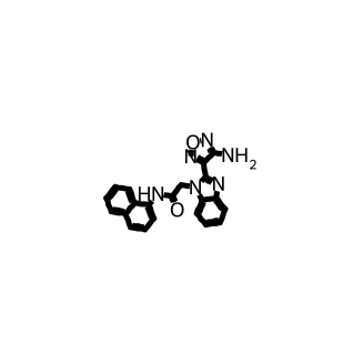 Nc1nonc1-c1nc2ccccc2n1CC(=O)Nc1cccc2ccccc12